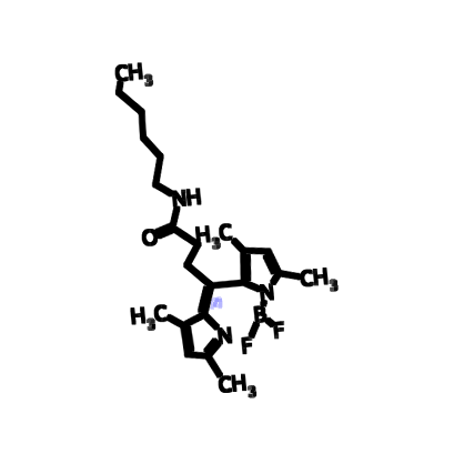 CCCCCCNC(=O)CC/C(=C1/N=C(C)C=C1C)c1c(C)cc(C)n1B(F)F